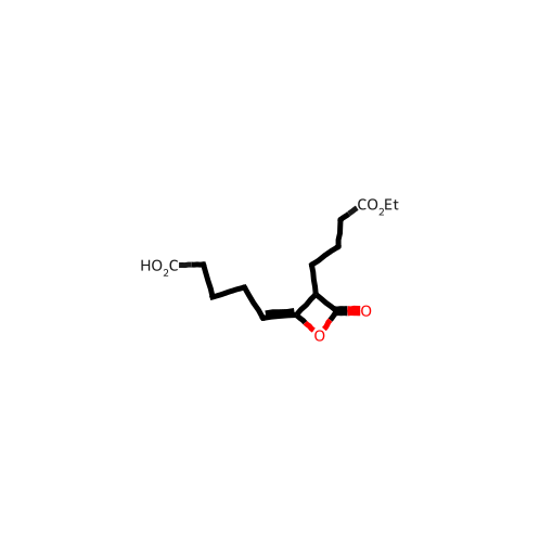 CCOC(=O)CCCC1C(=O)OC1=CCCCC(=O)O